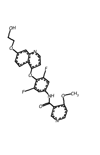 COc1ccncc1C(=O)Nc1cc(F)c(Oc2ccnc3cc(OCCO)ccc23)c(F)c1